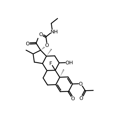 CCNC(=O)O[C@@]1(C(C)=O)C(C)CC2C3CCC4=CC(=O)C(OC(C)=O)=C[C@]4(C)C3(F)C(O)C[C@@]21C